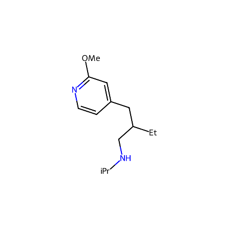 CCC(CNC(C)C)Cc1ccnc(OC)c1